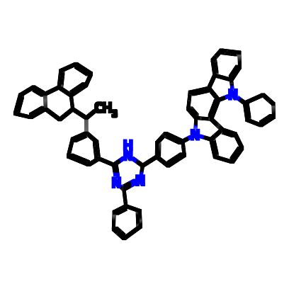 CC(c1cccc(C2=NC(c3ccccc3)=NC(c3ccc(-n4c5ccccc5c5c6c(ccc54)c4ccccc4n6C4=CC=CCC4)cc3)N2)c1)C1Cc2ccccc2-c2ccccc21